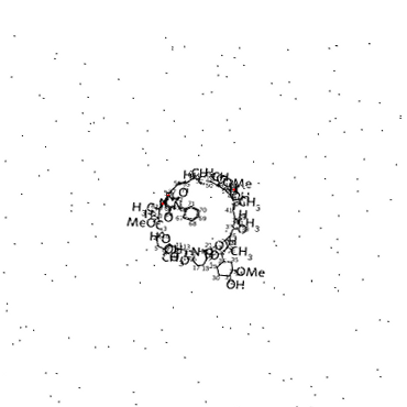 CO[C@H]1C[C@@H]2CC[C@@H](C)[C@@](O)(O2)C(=O)C(=O)N2CCCC[C@H]2C(=O)O[C@H]([C@H](C)C[C@@H]2CC[C@@H](O)[C@H](OC)C2)CC(=O)[C@H](C)/C=C(\C)[C@@H](O)[C@@H](OC)C(=O)[C@H](C)C[C@H](C)/C=C/C2C=CC1(C)n1c(=O)n(-c3ccccc3)c(=O)n12